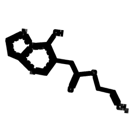 C=CCOC(=O)Cc1cnc2ccnn2c1O